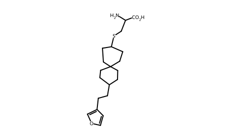 NC(CSC1CCC2(CCC(CCc3ccoc3)CC2)CC1)C(=O)O